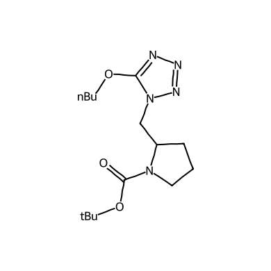 CCCCOc1nnnn1CC1CCCN1C(=O)OC(C)(C)C